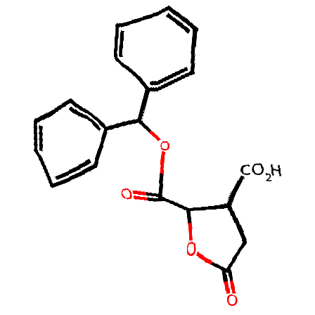 O=C1CC(C(=O)O)C(C(=O)OC(c2ccccc2)c2ccccc2)O1